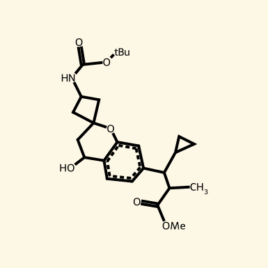 COC(=O)C(C)C(c1ccc2c(c1)OC1(CC(NC(=O)OC(C)(C)C)C1)CC2O)C1CC1